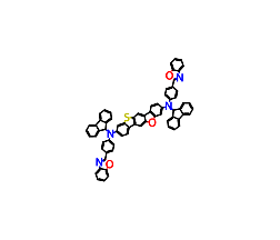 c1ccc2c(c1)-c1ccccc1C2N(c1ccc(-c2nc3ccccc3o2)cc1)c1ccc2c(c1)oc1cc3c(cc12)sc1cc(N(c2ccc(-c4nc5ccccc5o4)cc2)C2c4ccccc4-c4ccccc42)ccc13